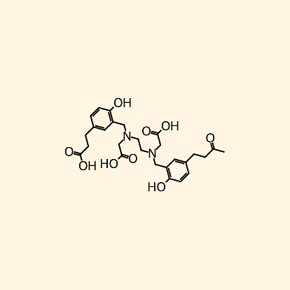 CC(=O)CCc1ccc(O)c(CN(CCN(CC(=O)O)Cc2cc(CCC(=O)O)ccc2O)CC(=O)O)c1